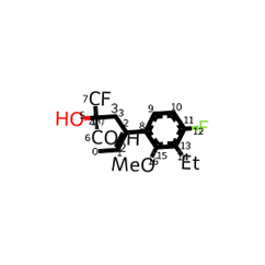 CC=C(C[C@@](O)(C(=O)O)C(F)(F)F)c1ccc(F)c(CC)c1OC